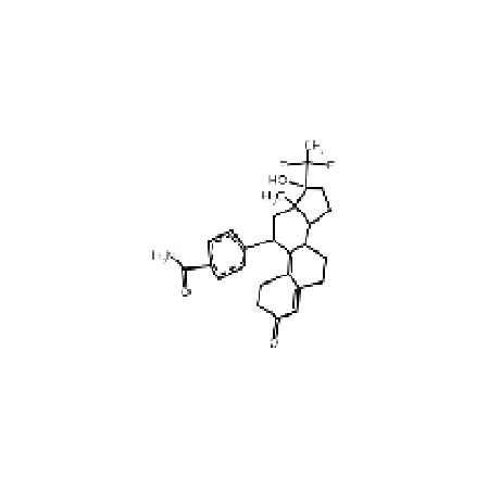 CC12CC(c3ccc(C(N)=O)cc3)C3=C4CCC(=O)C=C4CCC3C1CC[C@@]2(O)C(F)(F)C(F)(F)F